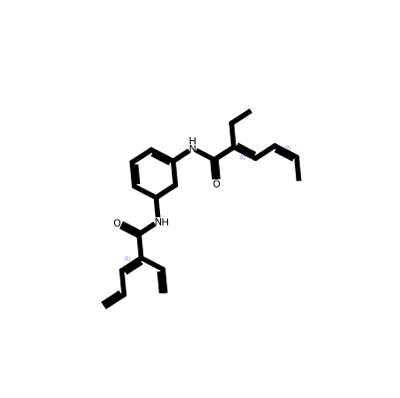 C=C/C=C(\C=C)C(=O)NC1C=CC=C(NC(=O)/C(=C/C=C\C)CC)C1